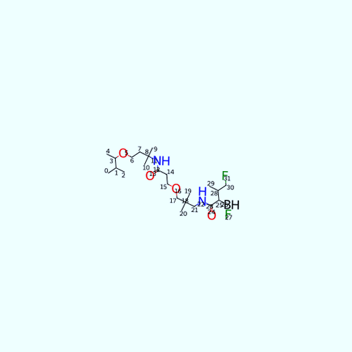 CC(C)C(C)OCCC(C)(C)NC(=O)CCOCC(C)(C)CNC(=O)C(BF)C(C)CF